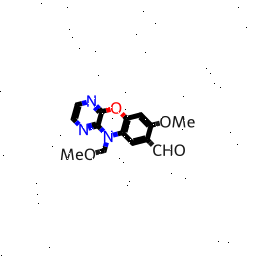 COCN1c2cc(C=O)c(OC)cc2Oc2nccnc21